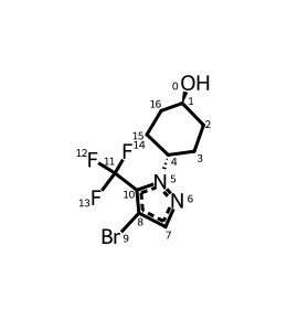 O[C@H]1CC[C@H](n2ncc(Br)c2C(F)(F)F)CC1